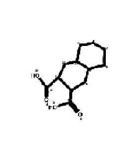 O=C(O)C1CC2CCCCC2CC1C(=O)O